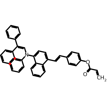 C=CC(=O)Oc1ccc(C=Cc2ccc(N(C=C(c3ccccc3)c3ccccc3)c3ccccc3)c3ccccc23)cc1